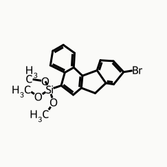 CO[Si](OC)(OC)c1cc2c(c3ccccc13)-c1ccc(Br)cc1C2